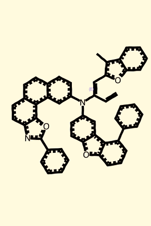 C=C/C(=C\c1oc2ccccc2c1C)N(c1ccc2oc3cccc(-c4ccccc4)c3c2c1)c1ccc2ccc3ccc4nc(-c5ccccc5)oc4c3c2c1